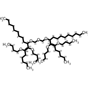 CCCCCCCCCC(OCOCOC(CCCCCCCCC)C(OCCCC)=C(CCCCC)OCCCC)C(OCCCC)=C(CCCCC)OCCCC